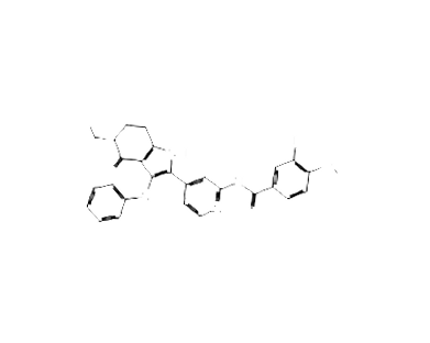 CC[C@H]1CCc2[nH]c(-c3ccnc(NC(=O)c4ccc(OC)c(F)c4)c3)c(Nc3ccccc3)c2C1=O